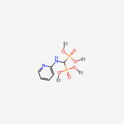 CCOP(=O)(OCC)C(Nc1ccccn1)P(=O)(OCC)OCC